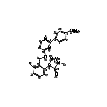 COc1ccc(-c2nccc(OCc3c(C)cccc3-n3nnn(C)c3=O)n2)cc1